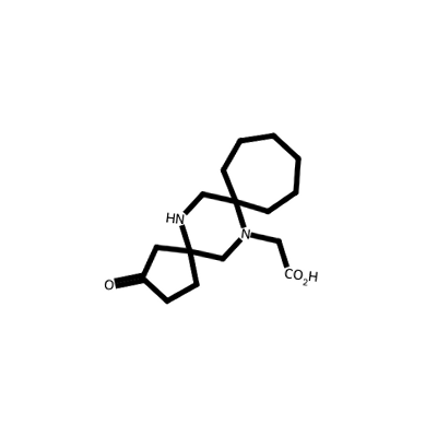 O=C(O)CN1CC2(CCC(=O)C2)NCC12CCCCCC2